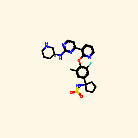 Cc1cc(C2(N[SH](=O)=O)CCCC2)cc(F)c1Oc1ncccc1-c1ccnc(N[C@H]2CCCNC2)n1